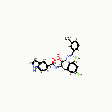 CCc1cccc(CNC[C@H](O)[C@H](Cc2cc(F)cc(F)c2)NC(=O)c2ccc3[nH]ccc3c2)c1